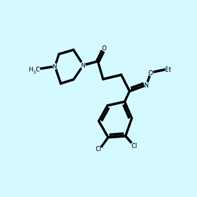 CCO/N=C(\CCC(=O)N1CCN(C)CC1)c1ccc(Cl)c(Cl)c1